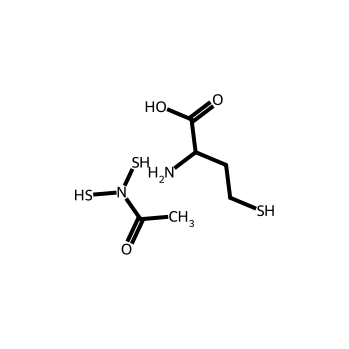 CC(=O)N(S)S.NC(CCS)C(=O)O